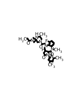 C=CC(=O)N1CC2(C1)CN(C(=O)CN1C[C@H]3CC(=O)N(c4cc(C(F)(F)F)cc(C)n4)[C@@H]3C(=O)N(C)c3cccc(F)c31)C[C@@H](C)N2